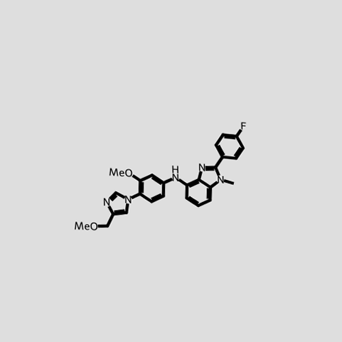 COCc1cn(-c2ccc(Nc3cccc4c3nc(-c3ccc(F)cc3)n4C)cc2OC)cn1